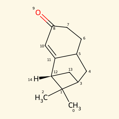 CC1(C)C2CC3CCC(=O)C=C3[C@@H]1C2